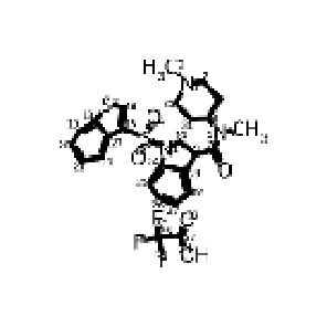 CN1CCC(N(C)C(=O)C2CN(S(=O)(=O)c3csc4ccccc34)c3ccccc32)CC1.O=C(O)C(F)(F)F